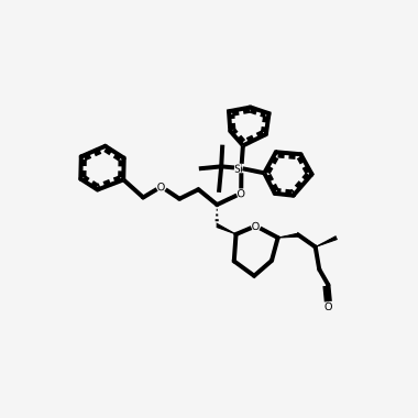 C[C@@H](CC=O)C[C@H]1CCC[C@@H](C[C@H](CCOCc2ccccc2)O[Si](c2ccccc2)(c2ccccc2)C(C)(C)C)O1